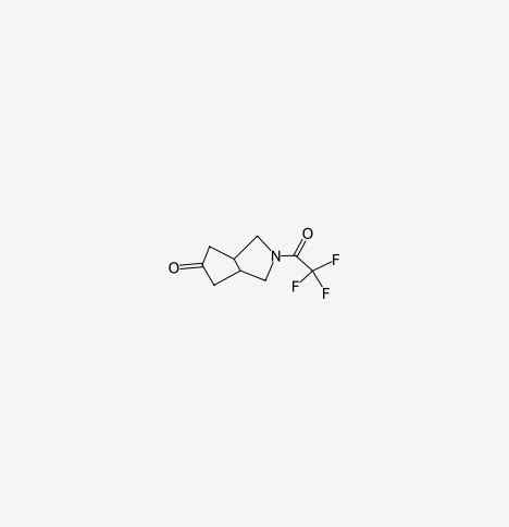 O=C1CC2CN(C(=O)C(F)(F)F)CC2C1